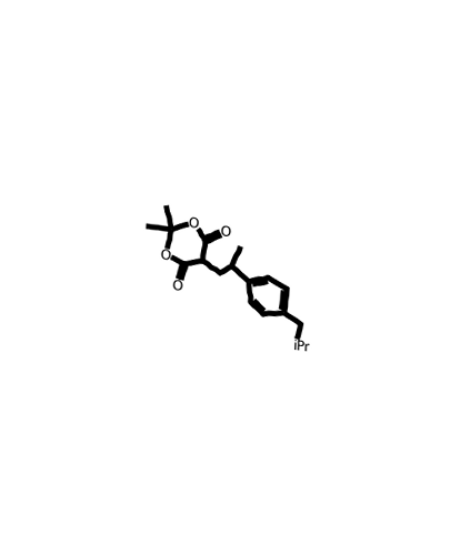 CC(C)Cc1ccc(C(C)CC2C(=O)OC(C)(C)OC2=O)cc1